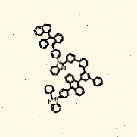 c1ccc(-c2cc(-c3cccc(-c4cccc(-c5nc6ccccc6n5-c5ccc(-c6c7ccccc7c(-c7cccc8ccccc78)c7ccccc67)cc5)c4)c3)cc(-c3c4ccccc4c(-c4ccc(-n5c(-c6ccccc6)nc6ccccc65)cc4)c4ccccc34)c2)cc1